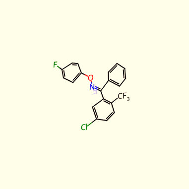 Fc1ccc(O/N=C(\c2ccccc2)c2cc(Cl)ccc2C(F)(F)F)cc1